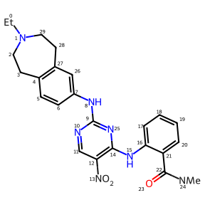 CCN1CCc2ccc(Nc3ncc([N+](=O)[O-])c(Nc4ccccc4C(=O)NC)n3)cc2CC1